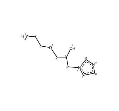 CCCOCC(O)Cn1ccnc1